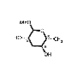 COC1O[C@H](C)[C@@H](O)C[C@@H]1O